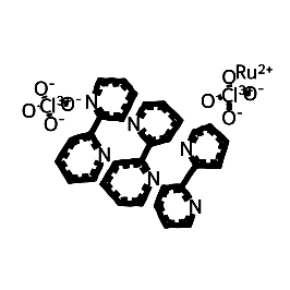 [O-][Cl+3]([O-])([O-])[O-].[O-][Cl+3]([O-])([O-])[O-].[Ru+2].c1ccc(-c2ccccn2)nc1.c1ccc(-c2ccccn2)nc1.c1ccc(-c2ccccn2)nc1